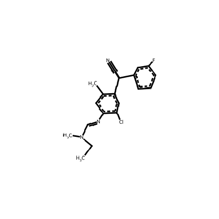 CCN(C)C=Nc1cc(C)c(C(C#N)c2cccc(F)c2)cc1Cl